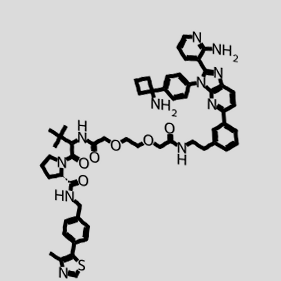 Cc1ncsc1-c1ccc(CNC(=O)[C@@H]2CCCN2C(=O)C(NC(=O)COCCOCC(=O)NCCc2cccc(-c3ccc4nc(-c5cccnc5N)n(-c5ccc(C6(N)CCC6)cc5)c4n3)c2)C(C)(C)C)cc1